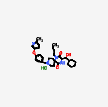 CCCCN1C(=O)[C@@H]([C@H](O)C2CCCCC2)NC(=O)C12CCN(Cc1ccc(Oc3ccc(C)nc3)cc1)CC2.Cl